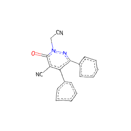 N#CCn1nc(-c2ccccc2)c(-c2ccccc2)c(C#N)c1=O